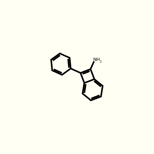 NC1=C(c2ccccc2)c2ccccc21